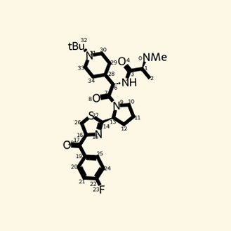 CN[C@@H](C)C(=O)N[C@H](C(=O)N1CCC[C@H]1C1=NC(C(=O)c2ccc(F)cc2)CS1)C1CCN(C(C)(C)C)CC1